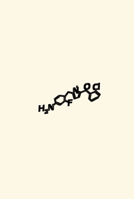 Cn1c(Cc2ccc(N)cc2F)ccc1C(=O)c1ccccc1Cl